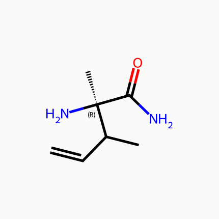 C=CC(C)[C@@](C)(N)C(N)=O